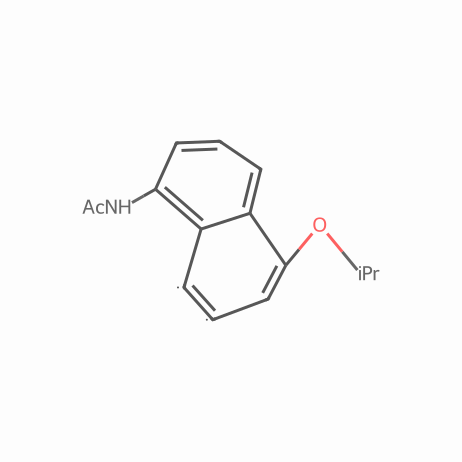 CC(=O)Nc1cccc2c(OC(C)C)c[c][c]c12